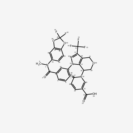 CN(C(=O)c1cccc(-n2nc(C(F)(F)F)c3c2C(n2cc(C(=O)O)ccc2=O)COC3)c1)c1ccc2c(c1)OC(F)(F)O2